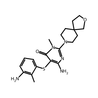 Cc1c(N)cccc1Sc1c(N)nc(N2CCC3(CCOC3)CC2)n(C)c1=O